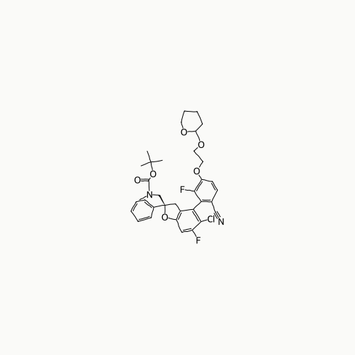 CN(C[C@@]1(c2ccccc2)Cc2c(cc(F)c(Cl)c2-c2c(C#N)ccc(OCCOC3CCCCO3)c2F)O1)C(=O)OC(C)(C)C